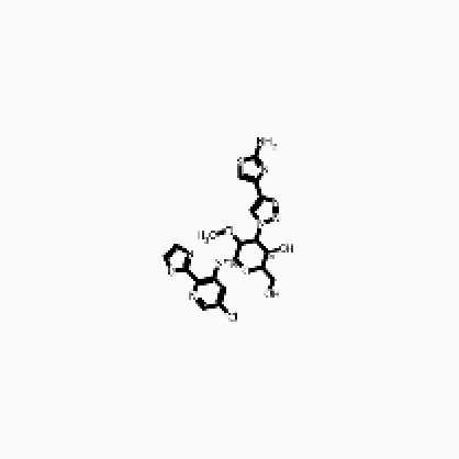 COC1C(n2cc(-c3csc(N)n3)nn2)[C@@H](O)C(CO)O[C@@H]1Sc1cc(Cl)cnc1-c1ncco1